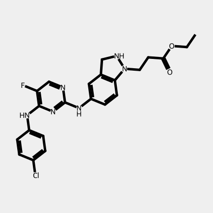 CCOC(=O)CCN1NCc2cc(Nc3ncc(F)c(Nc4ccc(Cl)cc4)n3)ccc21